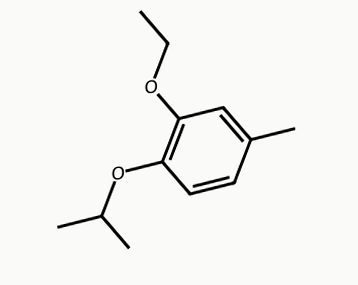 CCOc1cc(C)ccc1OC(C)C